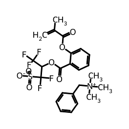 C=C(C)C(=O)Oc1ccccc1C(=O)OC(C(F)(F)F)C(F)(F)S(=O)(=O)[O-].C[N+](C)(C)Cc1ccccc1